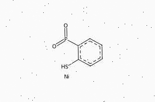 O=P(=O)c1ccccc1S.[Ni]